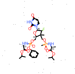 CC(C)OC(=O)[C@H](C)NP(C)(=O)OCC1(C)C(F)[C@H](n2ccc(=O)[nH]c2=O)O[C@@H]1COP(=O)(N[C@@H](C)C(=O)OC(C)C)Oc1ccccc1